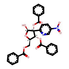 O=C(OC[C@H]1O[C@@H](O)[C@@](OC(=O)c2ccccc2)(c2ccc([N+](=O)[O-])cn2)[C@@H]1OC(=O)c1ccccc1)c1ccccc1